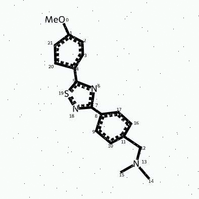 COc1ccc(-c2nc(-c3ccc(CN(C)C)cc3)ns2)cc1